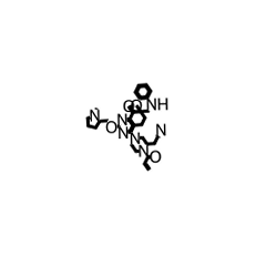 C=CC(=O)N1CCN(c2nc(OCC3CCCN3C)nc3c2CCC2(CNc4ccccc4O2)C3=O)CC1CC#N